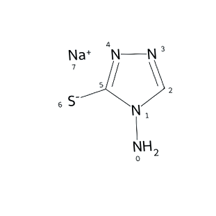 Nn1cnnc1[S-].[Na+]